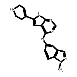 Cn1ncc2cc(Nc3ncnc4[nH]c(C5=CCNCC5)cc34)ccc21